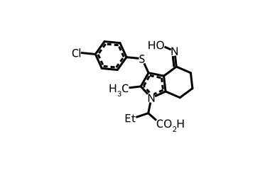 CCC(C(=O)O)n1c(C)c(Sc2ccc(Cl)cc2)c2c1CCC/C2=N/O